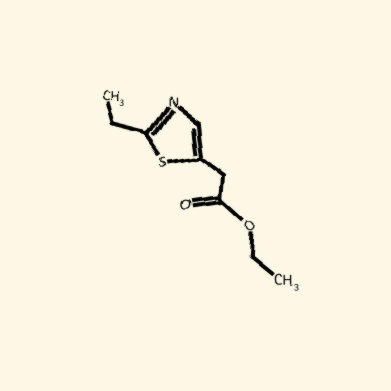 CCOC(=O)Cc1cnc(CC)s1